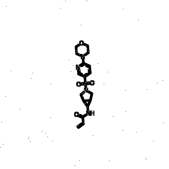 C=CC(=O)NC1C2CN(S(=O)(=O)c3ccc(N4CCOCC4)nc3)CC21